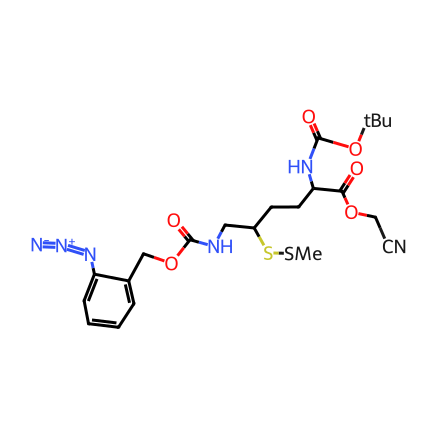 CSSC(CCC(NC(=O)OC(C)(C)C)C(=O)OCC#N)CNC(=O)OCc1ccccc1N=[N+]=[N-]